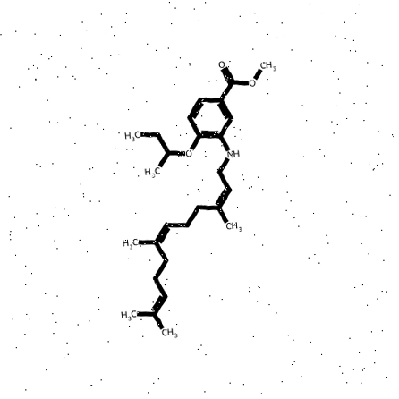 CCC(C)Oc1ccc(C(=O)OC)cc1NCC=C(C)CCC=C(C)CCC=C(C)C